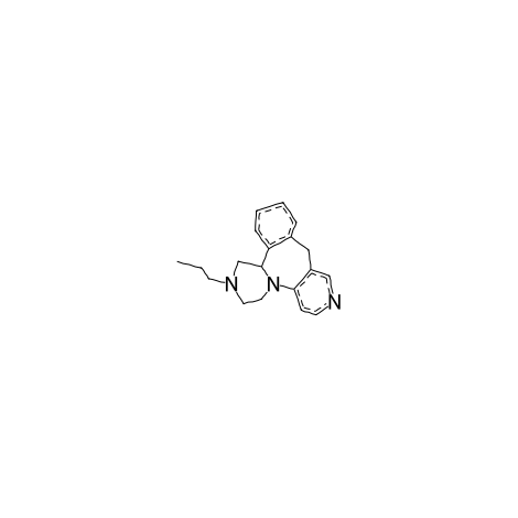 CCCN1CCN2c3ccncc3Cc3ccccc3C2C1